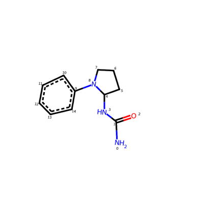 NC(=O)NC1CCCN1c1ccccc1